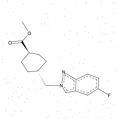 COC(=O)[C@H]1CC[C@H](Cn2cc3cc(F)ccc3n2)CC1